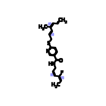 C=C/C=C(C)\C=C\CSc1ccc(C(=O)NC/C=C\C(F)=C/C)cn1